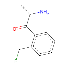 C[C@H](N)C(=O)c1ccccc1CF